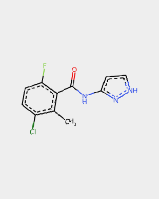 Cc1c(Cl)ccc(F)c1C(=O)Nc1cc[nH]n1